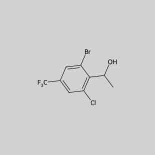 CC(O)c1c(Cl)cc(C(F)(F)F)cc1Br